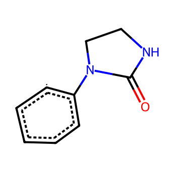 O=C1NCCN1c1[c]cccc1